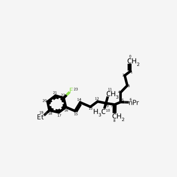 C=CCCCC(CCC)C(=C)C(C)(C)CC/C=C/c1cc(CC)ccc1F